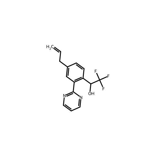 C=CCc1ccc(C(O)C(F)(F)F)c(-c2ncccn2)c1